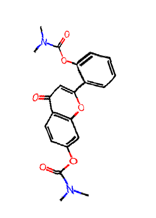 CN(C)C(=O)Oc1ccc2c(=O)cc(-c3ccccc3OC(=O)N(C)C)oc2c1